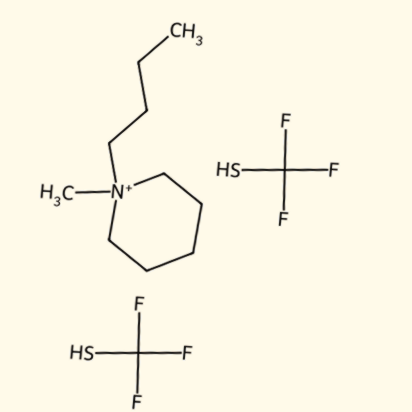 CCCC[N+]1(C)CCCCC1.FC(F)(F)S.FC(F)(F)S